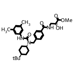 COC(=O)[C@H](O)CNC(=O)c1ccc(CN(C(=O)Nc2cc(C)cc(C)c2)[C@H]2CC[C@H](C(C)(C)C)CC2)cc1